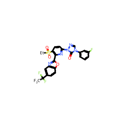 CCS(=O)(=O)c1ccc(-n2ncn(-c3cccc(F)c3)c2=O)nc1-c1nc2cc(C(F)(F)C(F)(F)F)ccc2o1